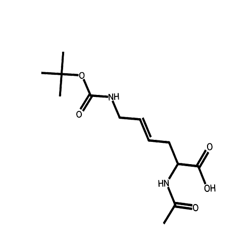 CC(=O)NC(C/C=C/CNC(=O)OC(C)(C)C)C(=O)O